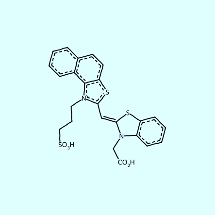 O=C(O)CN1C(=Cc2sc3ccc4ccccc4c3[n+]2CCCS(=O)(=O)O)Sc2ccccc21